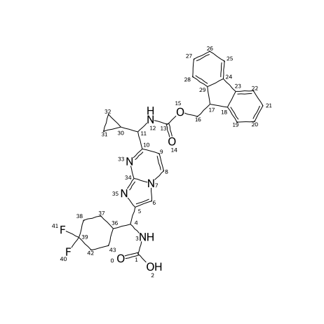 O=C(O)NC(c1cn2ccc(C(NC(=O)OCC3c4ccccc4-c4ccccc43)C3CC3)nc2n1)C1CCC(F)(F)CC1